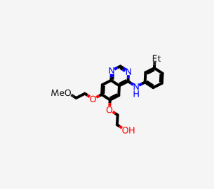 CCc1cccc(Nc2ncnc3cc(OCCOC)c(OCCO)cc23)c1